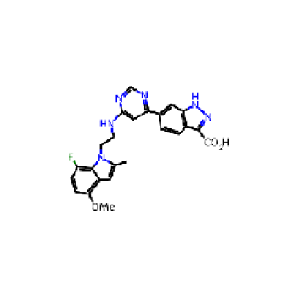 COc1ccc(F)c2c1cc(C)n2CCNc1cc(-c2ccc3c(C(=O)O)n[nH]c3c2)ncn1